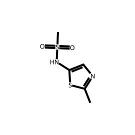 Cc1ncc(NS(C)(=O)=O)s1